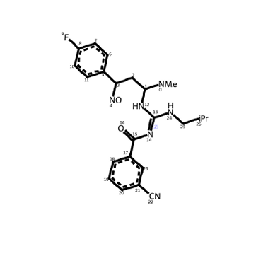 CNC(CC(N=O)c1ccc(F)cc1)N/C(=N\C(=O)c1cccc(C#N)c1)NCC(C)C